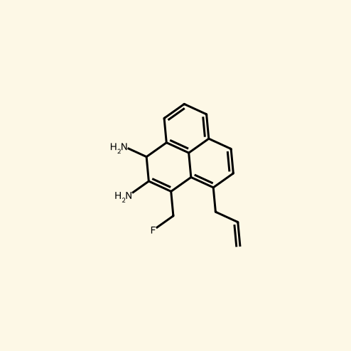 C=CCc1ccc2cccc3c2c1C(CF)=C(N)C3N